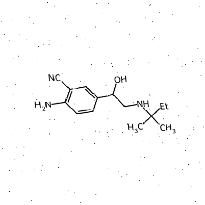 CCC(C)(C)NCC(O)c1ccc(N)c(C#N)c1